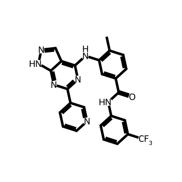 Cc1ccc(C(=O)Nc2cccc(C(F)(F)F)c2)cc1Nc1nc(-c2cccnc2)nc2[nH]ncc12